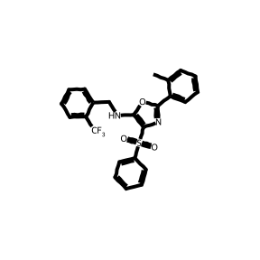 Cc1ccccc1-c1nc(S(=O)(=O)c2ccccc2)c(NCc2ccccc2C(F)(F)F)o1